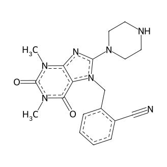 Cn1c(=O)c2c(nc(N3CCNCC3)n2Cc2ccccc2C#N)n(C)c1=O